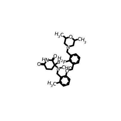 BC1(N(C=O)Cc2c(C)cccc2OCc2cccc(CN3CC(C)OC(C)C3)c2F)CCC(=O)NC1=O